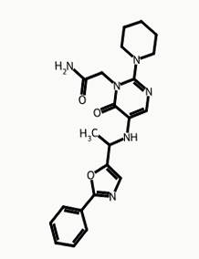 CC(Nc1cnc(N2CCCCC2)n(CC(N)=O)c1=O)c1cnc(-c2ccccc2)o1